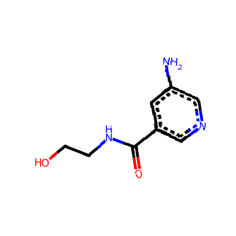 Nc1cncc(C(=O)NCCO)c1